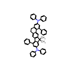 CC1(C)c2cc3c(cc2-c2c(-c4ccccc4)cc(N(c4ccccc4)c4ccccc4)cc21)CCc1cc(N(c2ccccc2)c2ccccc2)cc(-c2ccccc2)c1-3